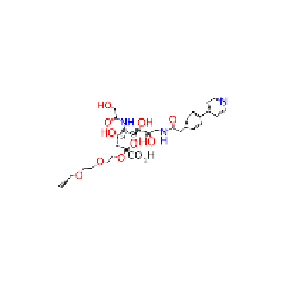 C#CCOCCOCCO[C@]1(C(=O)O)C[C@H](O)[C@@H](NC(=O)CO)[C@H]([C@H](O)[C@H](O)CNC(=O)Cc2ccc(-c3ccncc3)cc2)O1